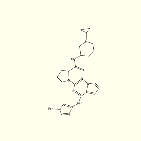 CC(C)n1cnc(Nc2nc(N3CCCC3C(=O)NC3CCCN(C4CC4)C3)nn3cccc23)c1